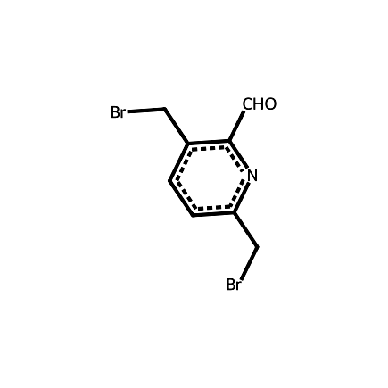 O=Cc1nc(CBr)ccc1CBr